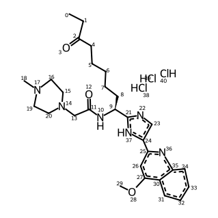 CCC(=O)CCCCC[C@H](NC(=O)CN1CCN(C)CC1)c1ncc(-c2cc(OC)c3ccccc3n2)[nH]1.Cl.Cl.Cl